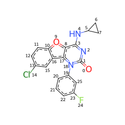 O=c1nc(NC2CC2)c2oc3ccc(Cl)cc3c2n1-c1cccc(F)c1